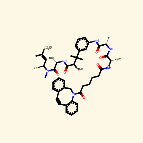 CCOC(=O)/C(C)=C/[C@H](C(C)C)N(C)C(=O)[C@@H](NC(=O)C(NC)C(C)(C)c1cccc(NC(=O)[C@H](C)NC(=O)[C@@H](NC(=O)CCCCC(=O)N2Cc3ccccc3C#Cc3ccccc32)C(C)C)c1)C(C)(C)C